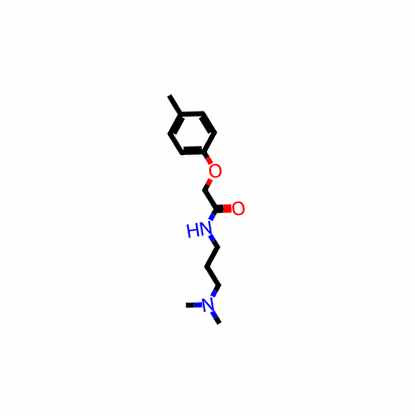 Cc1ccc(OCC(=O)NCCCN(C)C)cc1